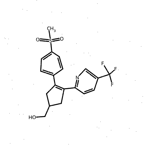 CS(=O)(=O)c1ccc(C2=C(c3ccc(C(F)(F)F)cn3)CC(CO)C2)cc1